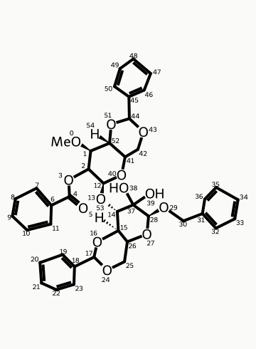 CO[C@@H]1C(OC(=O)c2ccccc2)[C@H](O[C@H]2[C@@H]3OC(c4ccccc4)OCC3O[C@H](OCc3ccccc3)C2(O)O)OC2COC(c3ccccc3)O[C@H]21